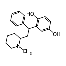 CN1CCCCC1CC(c1ccccc1)c1cc(O)ccc1O